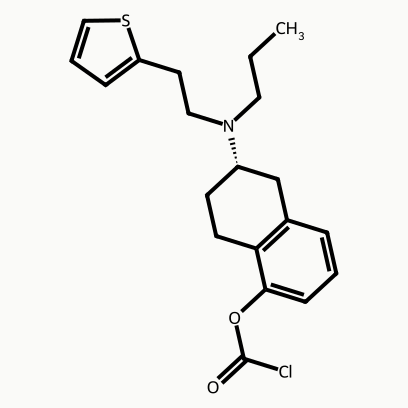 CCCN(CCc1cccs1)[C@H]1CCc2c(cccc2OC(=O)Cl)C1